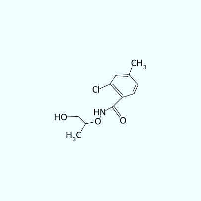 Cc1ccc(C(=O)NOC(C)CO)c(Cl)c1